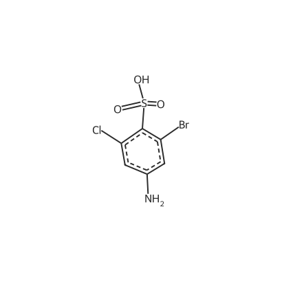 Nc1cc(Cl)c(S(=O)(=O)O)c(Br)c1